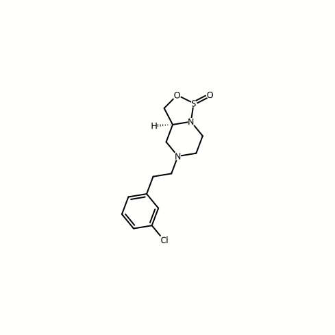 O=S1OC[C@@H]2CN(CCc3cccc(Cl)c3)CCN21